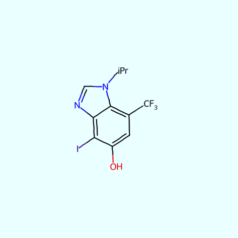 CC(C)n1cnc2c(I)c(O)cc(C(F)(F)F)c21